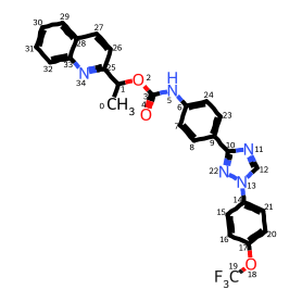 CC(OC(=O)Nc1ccc(-c2ncn(-c3ccc(OC(F)(F)F)cc3)n2)cc1)c1ccc2ccccc2n1